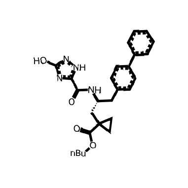 CCCCOC(=O)C1(C[C@@H](Cc2ccc(-c3ccccc3)cc2)NC(=O)c2nc(O)n[nH]2)CC1